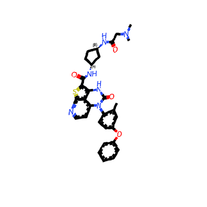 Cc1cc(Oc2ccccc2)ccc1N1C(=O)Nc2c(C(=O)N[C@@H]3CC[C@@H](NC(=O)CN(C)C)C3)sc3nccc1c23